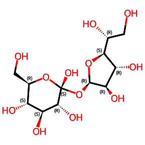 OC[C@@H](O)[C@@H]1O[C@H](O[C@@]2(O)O[C@H](CO)[C@@H](O)[C@H](O)[C@H]2O)[C@H](O)[C@H]1O